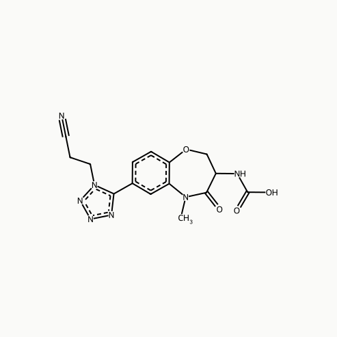 CN1C(=O)C(NC(=O)O)COc2ccc(-c3nnnn3CCC#N)cc21